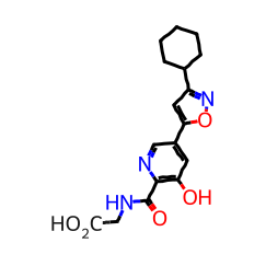 O=C(O)CNC(=O)c1ncc(-c2cc(C3CCCCC3)no2)cc1O